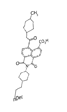 CCCCCCCCCCCCC1CCC(N2C(=O)c3ccc(C(=O)O)c4c(C(=O)CC5CCC(C)CC5)ccc(c34)C2=O)CC1